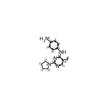 Nc1ccc(Nc2nc(N3CCCC3)ncc2F)cc1